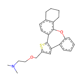 CN(C)CCOCc1cc2c(s1)-c1ccc3c(c1Oc1ccccc1-2)CCCC3